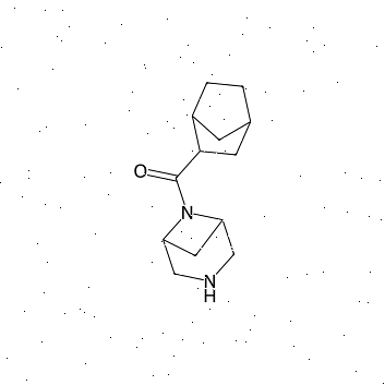 O=C(C1CC2CCC1C2)N1C2CNCC1C2